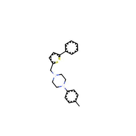 Cc1ccc(N2CCN(Cc3ccc(-c4ccccc4)s3)CC2)cc1